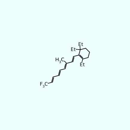 CCC1=C(/C=C/C(C)=C/C=C/C=C/C(F)(F)F)C(CC)(CC)CCC1